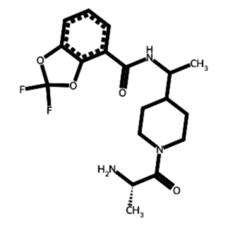 CC(NC(=O)c1cccc2c1OC(F)(F)O2)C1CCN(C(=O)[C@H](C)N)CC1